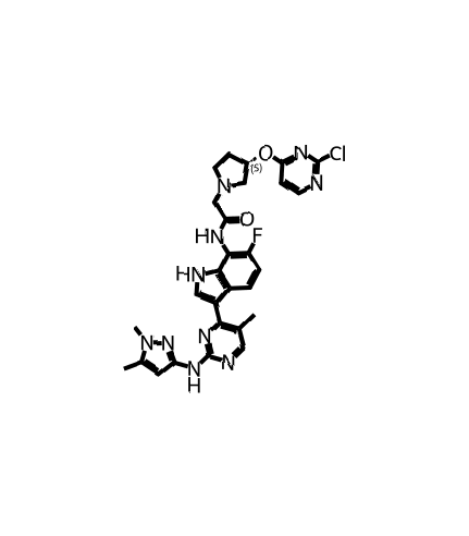 Cc1cnc(Nc2cc(C)n(C)n2)nc1-c1c[nH]c2c(NC(=O)CN3CC[C@H](Oc4ccnc(Cl)n4)C3)c(F)ccc12